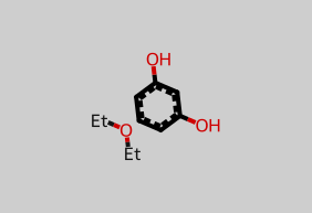 CCOCC.Oc1cccc(O)c1